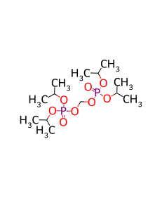 CC(C)OP(=O)(OCOP(=O)(OC(C)C)OC(C)C)OC(C)C